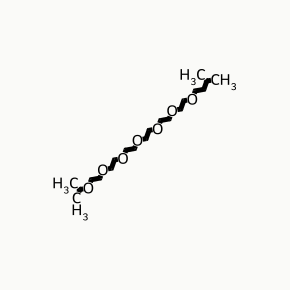 CC(C)CCOCCOCCOCCOCCOCCOCCOC(C)C